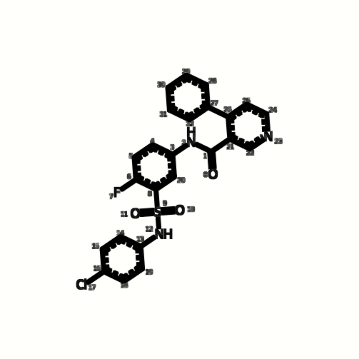 O=C(Nc1ccc(F)c(S(=O)(=O)Nc2ccc(Cl)cc2)c1)c1cnccc1-c1ccccc1